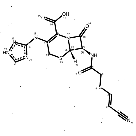 N#CC=CSCC(=O)N[C@@H]1C(=O)N2C(C(=O)O)=C(Sc3nc[nH]n3)CS[C@@H]12